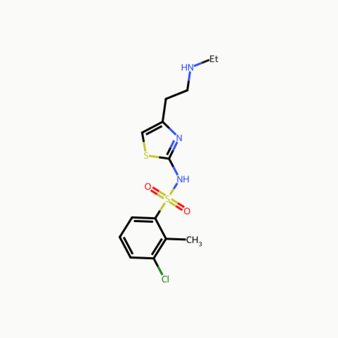 CCNCCc1csc(NS(=O)(=O)c2cccc(Cl)c2C)n1